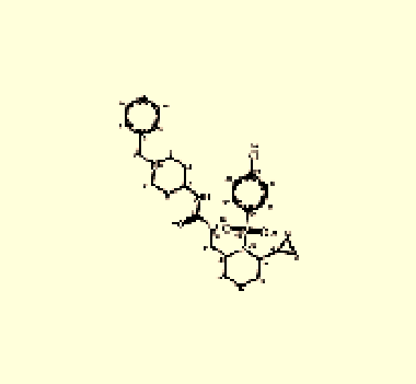 O=C(NC1CCN(Cc2ccccc2)CC1)OC[C@@H]1CCC[C@H](C2CC2)N1S(=O)(=O)c1ccc(Cl)cc1